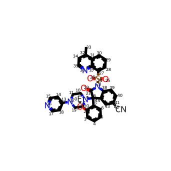 CCOc1ccccc1C1(N2CCN(c3ccncc3)CC2)C(=O)N(S(=O)(=O)c2cccc3c(C)ccnc23)c2ccc(C#N)cc21